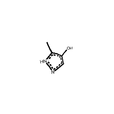 Cc1[nH]n[c]c1O